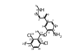 C=C(/C=N\NC)c1cnc(N)c(OC(C)c2c(Cl)ccc(F)c2Cl)c1